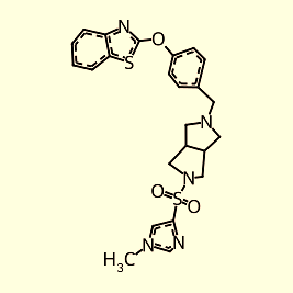 Cn1cnc(S(=O)(=O)N2CC3CN(Cc4ccc(Oc5nc6ccccc6s5)cc4)CC3C2)c1